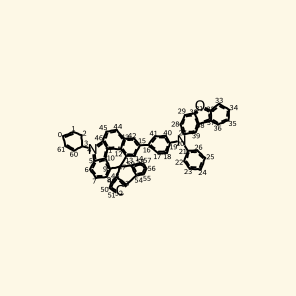 C1=CCC(n2c3cccc4c3c3c5c(cc(-c6ccc(N(c7ccccc7)c7ccc8oc9ccccc9c8c7)cc6)cc5ccc32)C42c3ccccc3-c3ccccc32)C=C1